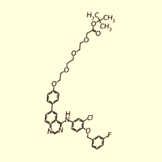 CC(C)(C)OC(=O)COCCOCCOCCOc1ccc(-c2ccc3ncnc(Nc4ccc(OCc5cccc(F)c5)c(Cl)c4)c3c2)cc1